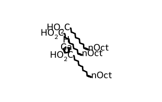 C1=[CH][GaH][CH]=C1.CCCCCCCC/C=C\CCCCCCCC(=O)O.CCCCCCCC/C=C\CCCCCCCC(=O)O.CCCCCCCC/C=C\CCCCCCCC(=O)O